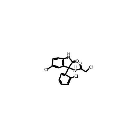 O=C(CCl)NC1(c2ccccc2Cl)C(=O)Nc2ccc(Cl)cc21